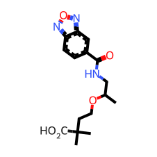 CC(CNC(=O)c1ccc2nonc2c1)OCCC(C)(C)C(=O)O